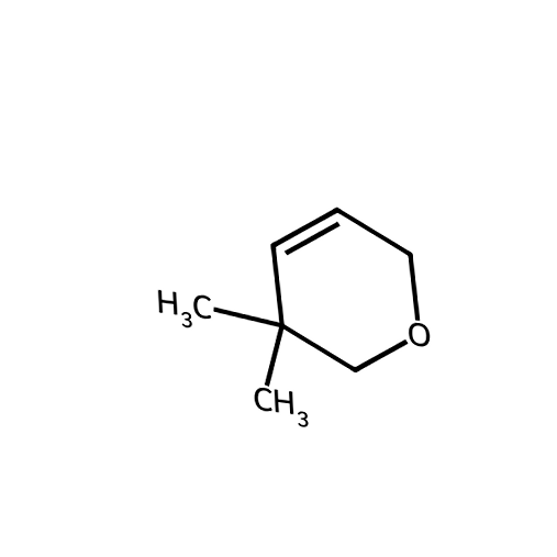 CC1(C)C=CCOC1